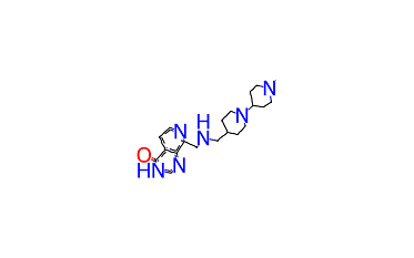 CN1CCC(N2CCC(CNCc3nccc4c(=O)[nH]cnc34)CC2)CC1